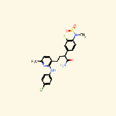 CN(c1ccc(C(CCc2ccc(C(F)(F)F)nc2Nc2ccc(Cl)cc2)C(N)=O)cc1F)[SH](=O)=O